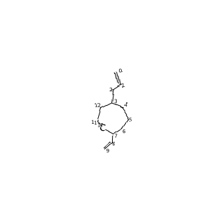 C=CCC1CCCC(C=C)CCC1